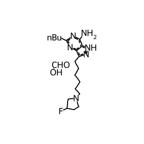 CCCCc1nc(N)c2[nH]nc(CCCCCCN3CCC(F)C3)c2n1.O=CO